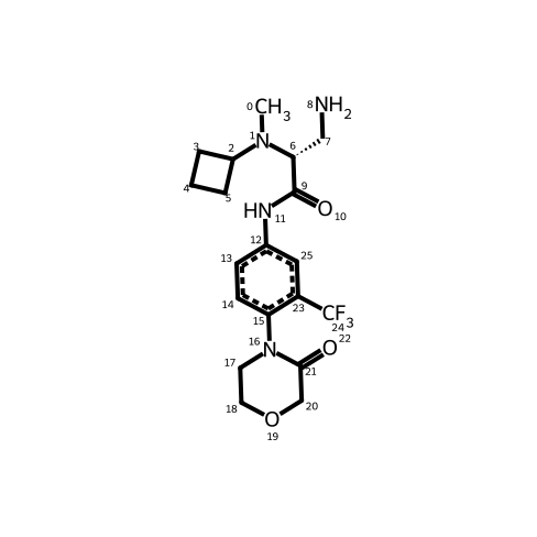 CN(C1CCC1)[C@H](CN)C(=O)Nc1ccc(N2CCOCC2=O)c(C(F)(F)F)c1